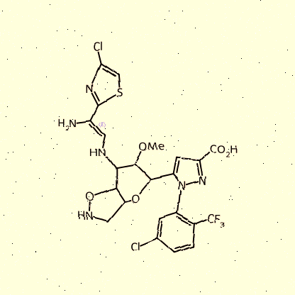 COC1C(c2cc(C(=O)O)nn2-c2cc(Cl)ccc2C(F)(F)F)OC2CNOC2C1N/C=C(\N)c1nc(Cl)cs1